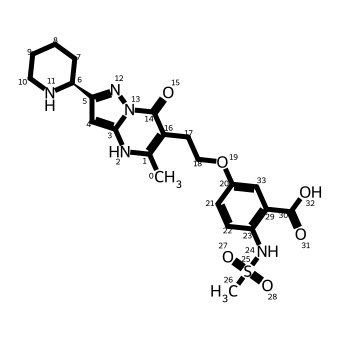 Cc1[nH]c2cc([C@@H]3CCCCN3)nn2c(=O)c1CCOc1ccc(NS(C)(=O)=O)c(C(=O)O)c1